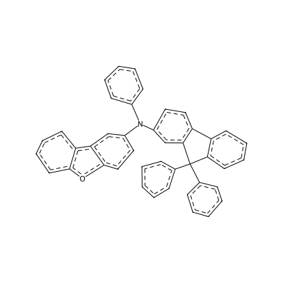 c1ccc(N(c2ccc3c(c2)C(c2ccccc2)(c2ccccc2)c2ccccc2-3)c2ccc3oc4ccccc4c3c2)cc1